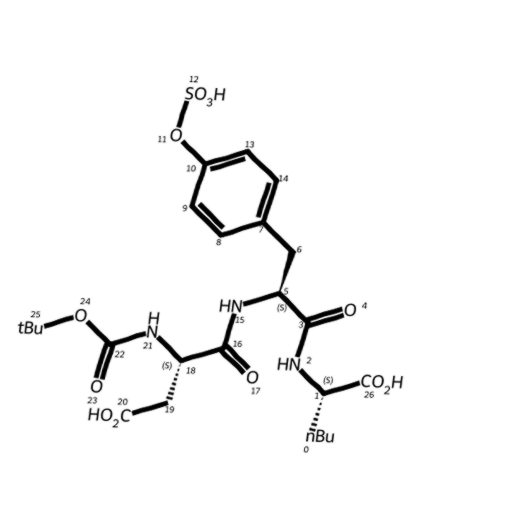 CCCC[C@H](NC(=O)[C@H](Cc1ccc(OS(=O)(=O)O)cc1)NC(=O)[C@H](CC(=O)O)NC(=O)OC(C)(C)C)C(=O)O